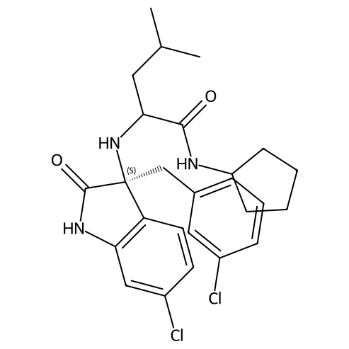 CC(C)CC(N[C@]1(Cc2cccc(Cl)c2)C(=O)Nc2cc(Cl)ccc21)C(=O)NC1CCCC1